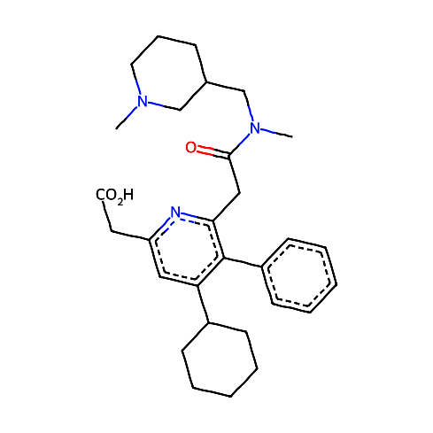 CN1CCCC(CN(C)C(=O)Cc2nc(CC(=O)O)cc(C3CCCCC3)c2-c2ccccc2)C1